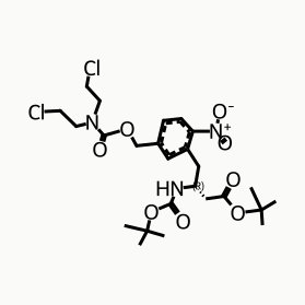 CC(C)(C)OC(=O)C[C@@H](Cc1cc(COC(=O)N(CCCl)CCCl)ccc1[N+](=O)[O-])NC(=O)OC(C)(C)C